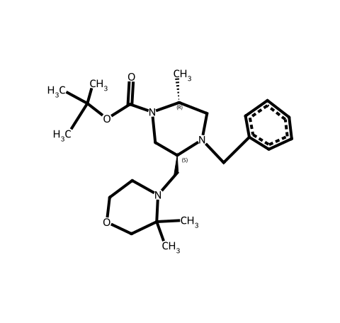 C[C@@H]1CN(Cc2ccccc2)[C@@H](CN2CCOCC2(C)C)CN1C(=O)OC(C)(C)C